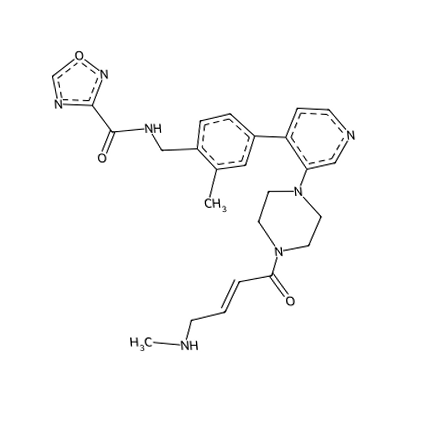 CNCC=CC(=O)N1CCN(c2cnccc2-c2ccc(CNC(=O)c3ncon3)c(C)c2)CC1